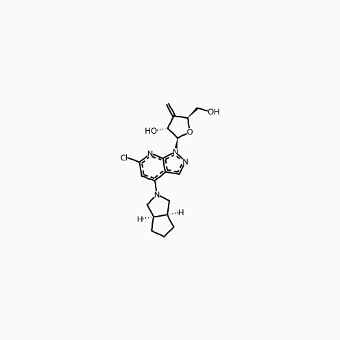 C=C1[C@@H](O)[C@H](n2ncc3c(N4C[C@H]5CCC[C@H]5C4)cc(Cl)nc32)O[C@@H]1CO